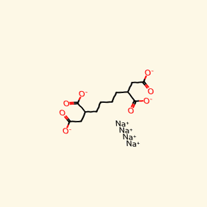 O=C([O-])CC(CCCCC(CC(=O)[O-])C(=O)[O-])C(=O)[O-].[Na+].[Na+].[Na+].[Na+]